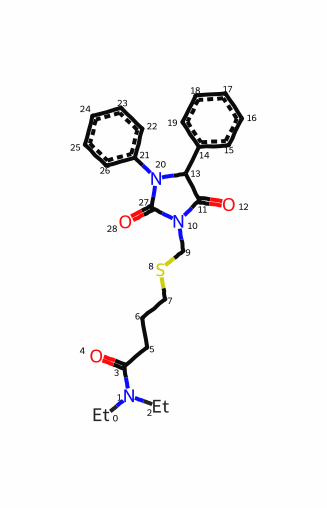 CCN(CC)C(=O)CCCSCN1C(=O)C(c2ccccc2)N(c2ccccc2)C1=O